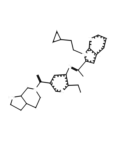 C=C(c1cnc(CC)c(/N=C(\C)c2cc3cccnc3n2CCC2CC2)c1)N1CCC2CCNC2C1